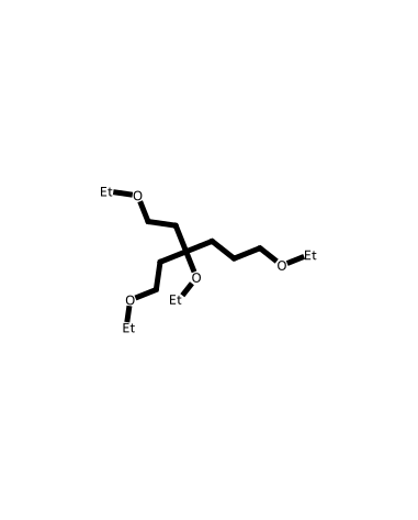 CCOCCCC(CCOCC)(CCOCC)OCC